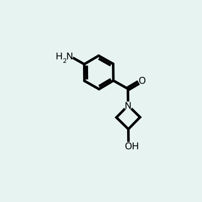 Nc1ccc(C(=O)N2CC(O)C2)cc1